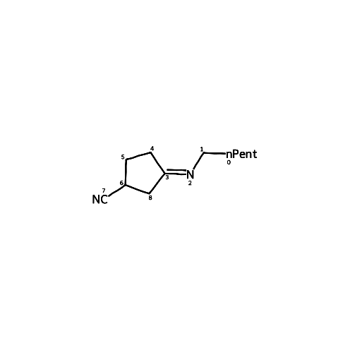 CCCCCC/N=C1\CCC(C#N)C1